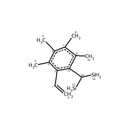 C=Cc1c(C)c(C)c(C)c(C)c1C([SiH3])[SiH3]